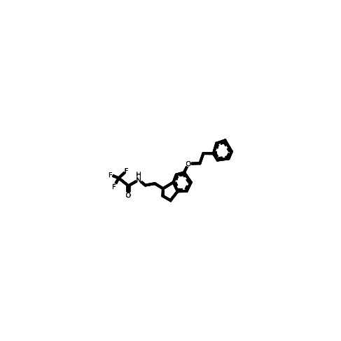 O=C(NCCC1CCc2ccc(OCCc3ccccc3)cc21)C(F)(F)F